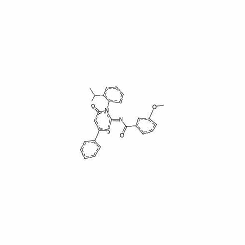 COc1cccc(C(=O)/N=c2\sc(-c3ccccc3)cc(=O)n2-c2ccccc2C(C)C)c1